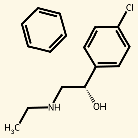 CCNC[C@@H](O)c1ccc(Cl)cc1.c1ccccc1